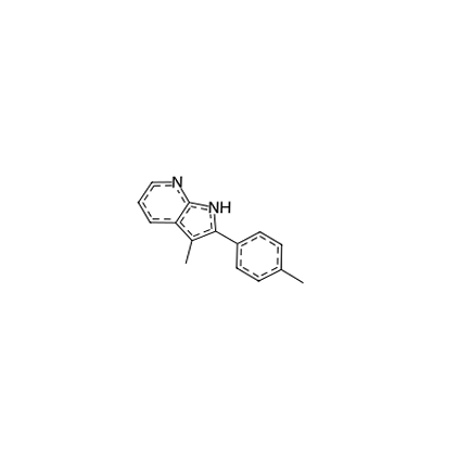 Cc1ccc(-c2[nH]c3ncccc3c2C)cc1